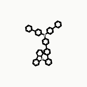 C1=CC2c3ccccc3N(c3ccccc3-c3ccc(-c4ccc(N(c5ccc(-c6ccccc6)cc5)c5ccc(-c6ccccc6)cc5)cc4)cc3)C2C=C1